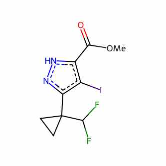 COC(=O)c1[nH]nc(C2(C(F)F)CC2)c1I